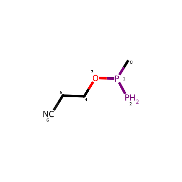 CP(P)OCCC#N